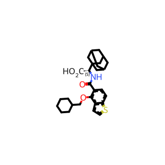 O=C(N[C@H](C(=O)O)C12CC3CC(CC(C3)C1)C2)c1ccc2sccc2c1OCC1CCCCC1